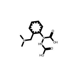 CN(C)Cc1ccccc1N(NC(=O)O)C(=O)O